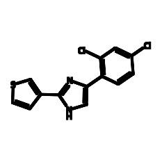 Clc1ccc(-c2c[nH]c(-c3ccsc3)n2)c(Cl)c1